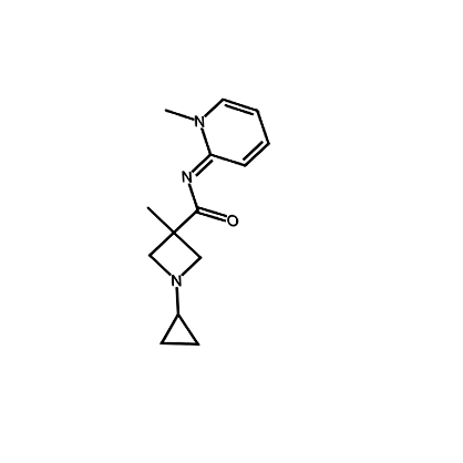 Cn1cccc/c1=N\C(=O)C1(C)CN(C2CC2)C1